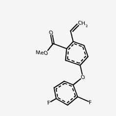 C=Cc1ccc(Oc2ccc(F)cc2F)cc1C(=O)OC